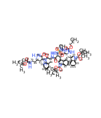 C=CCOC(=O)N[C@H](Cc1cn(C(=O)OC(C)(C)C)c2ccccc12)C(=O)NN(C)S(=O)(=O)N[C@@H](Cc1cn(C(=O)OC(C)(C)C)c2ccccc12)C(=O)N[C@H](Cc1ccccc1)C(=O)N[C@@H](CCCCNC(=O)OC(C)(C)C)C(N)=O